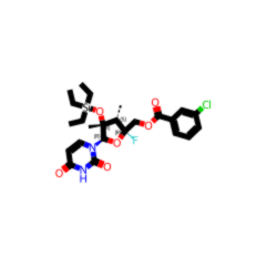 CC[Si](CC)(CC)O[C@@]1(C)[C@H](n2ccc(=O)[nH]c2=O)O[C@](F)(COC(=O)c2cccc(Cl)c2)[C@H]1C